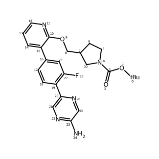 CC(C)(C)OC(=O)N1CCC(COc2ncccc2-c2ccc(-c3cnc(N)cn3)c(F)c2)C1